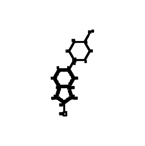 FC1CCN(c2ccc3nc(Cl)nn3c2)CC1